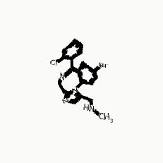 CNCc1cnc2n1-c1ccc(Br)cc1C(c1ccccc1Cl)=NC2